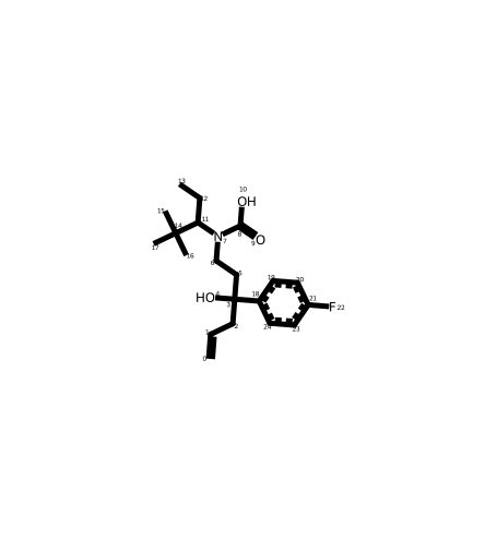 C=CCC(O)(CCN(C(=O)O)C(CC)C(C)(C)C)c1ccc(F)cc1